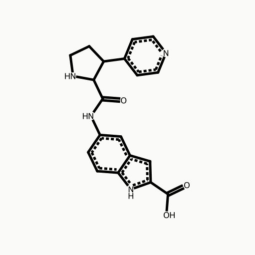 O=C(O)c1cc2cc(NC(=O)C3NCCC3c3ccncc3)ccc2[nH]1